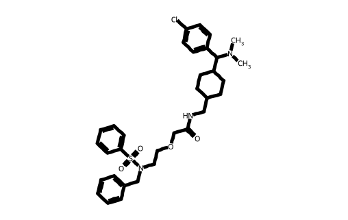 CN(C)C(c1ccc(Cl)cc1)C1CCC(CNC(=O)COCCN(Cc2ccccc2)S(=O)(=O)c2ccccc2)CC1